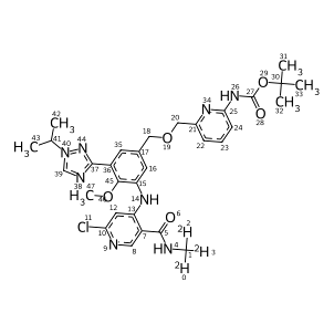 [2H]C([2H])([2H])NC(=O)c1cnc(Cl)cc1Nc1cc(COCc2cccc(NC(=O)OC(C)(C)C)n2)cc(-c2ncn(C(C)C)n2)c1OC